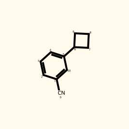 N#Cc1cccc(C2CCC2)c1